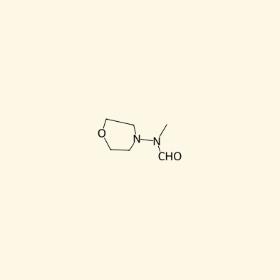 CN(C=O)N1CCOCC1